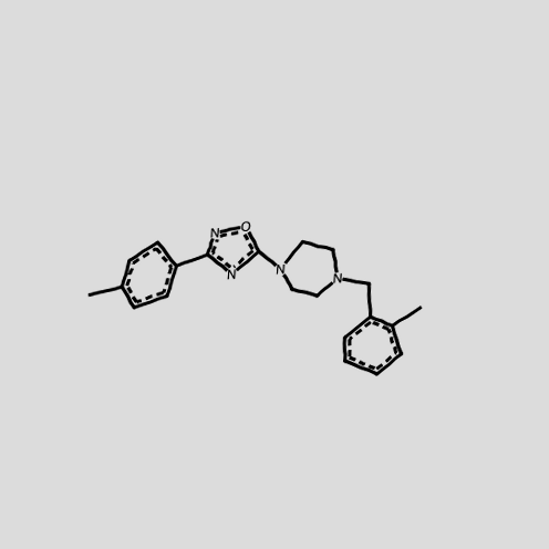 Cc1ccc(-c2noc(N3CCN(Cc4ccccc4C)CC3)n2)cc1